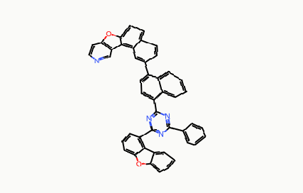 c1ccc(-c2nc(-c3ccc(-c4ccc5ccc6oc7ccncc7c6c5c4)c4ccccc34)nc(-c3cccc4oc5ccccc5c34)n2)cc1